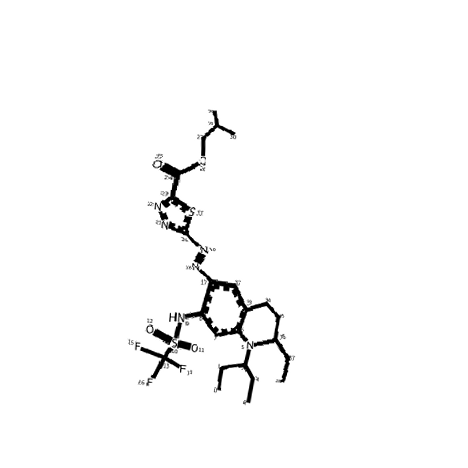 CCC(CC)N1c2cc(NS(=O)(=O)C(F)(F)F)c(N=Nc3nnc(C(=O)OCC(C)C)s3)cc2CCC1CC